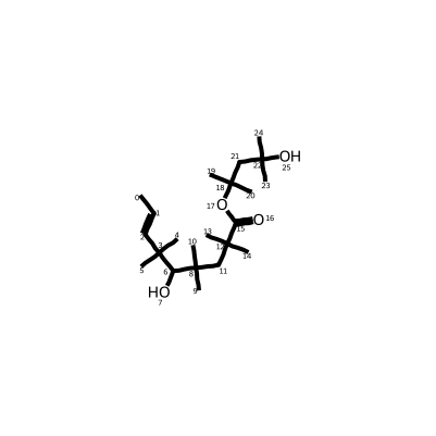 CC=CC(C)(C)C(O)C(C)(C)CC(C)(C)C(=O)OC(C)(C)CC(C)(C)O